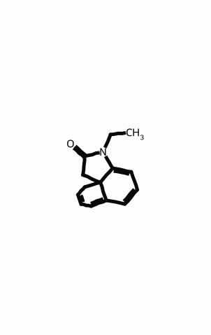 CCN1C(=O)CC23CC=CC=C2C=CC=C13